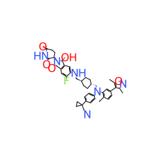 Cc1ccc(-c2c(C)noc2C)cc1N(C[C@H]1CC[C@H](CNc2cc3c(cc2F)C(=O)N(C2CCC(=O)NC2=O)C3O)CC1)c1ccc(C2(C#N)CC2)cc1